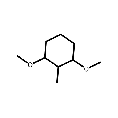 [CH2]C1C(OC)CCCC1OC